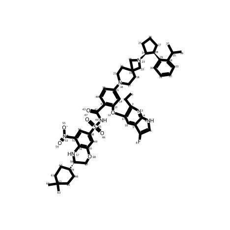 CCc1nc2[nH]cc(F)c2cc1Oc1cc(N2CCC3(CC2)CN([C@H]2CCC[C@H]2c2ccccc2C(C)C)C3)ccc1C(=O)NS(=O)(=O)c1cc2c(c([N+](=O)[O-])c1)N[C@@H](C1CCC(C)(C)CC1)CO2